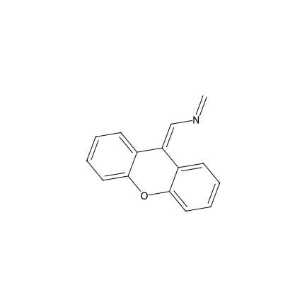 C=NC=C1c2ccccc2Oc2ccccc21